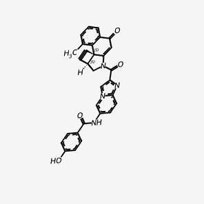 Cc1cccc2c1[C@@]13C#C[C@@H]1CN(C(=O)c1cn4cc(NC(=O)c5ccc(O)cc5)ccc4n1)C3=CC2=O